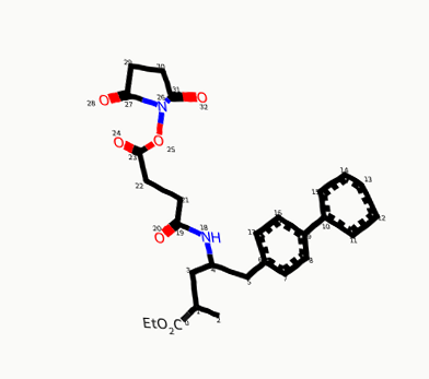 CCOC(=O)C(C)CC(Cc1ccc(-c2ccccc2)cc1)NC(=O)CCC(=O)ON1C(=O)CCC1=O